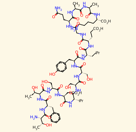 CC(C)C[C@H](NC(=O)[C@H](Cc1ccc(O)cc1)NC(=O)[C@H](CO)NC(=O)[C@H](CO)NC(=O)[C@@H](NC(=O)[C@H](CC(=O)O)NC(=O)[C@H](CO)NC(=O)[C@@H](NC(=O)[C@H](Cc1ccccc1)NC(=O)[C@@H](N)[C@@H](C)O)[C@@H](C)O)C(C)C)C(=O)N[C@@H](CCC(=O)O)C(=O)NCC(=O)N[C@@H](CCC(N)=O)C(=O)N[C@@H](C)C(=O)N[C@@H](C)C(=O)N[C@@H](CCCCN)C(=O)O